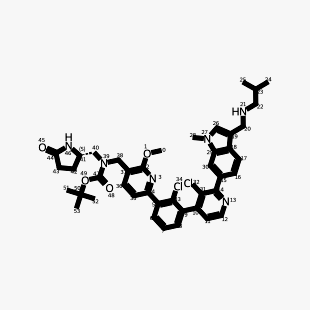 COc1nc(-c2cccc(-c3ccnc(-c4ccc5c(CNCC(C)C)cn(C)c5c4)c3Cl)c2Cl)ccc1CN(C[C@@H]1CCC(=O)N1)C(=O)OC(C)(C)C